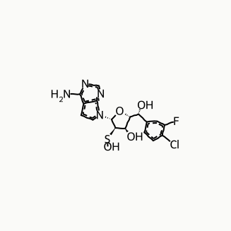 Nc1ncnc2c1ccn2[C@@H]1O[C@H]([C@H](O)c2ccc(Cl)c(F)c2)[C@@H](O)[C@H]1SO